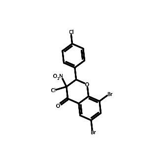 O=C1c2cc(Br)cc(Br)c2OC(c2ccc(Cl)cc2)C1(Cl)[N+](=O)[O-]